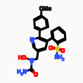 COc1ccc(-c2ncc(CN(O)C(N)=O)cc2-c2ccccc2S(N)(=O)=O)cc1